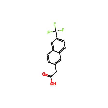 O=C(O)Cc1ccc2cc(C(F)(F)F)ccc2c1